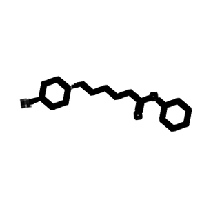 CC[C@H]1CC[C@H](CCCCCC(=O)OC2CCCCC2)CC1